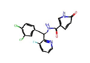 O=C(NC(c1ccc(Cl)c(Cl)c1)c1ncccc1F)c1ccc(=O)[nH]c1